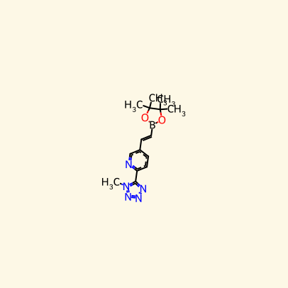 Cn1nnnc1-c1ccc(C=CB2OC(C)(C)C(C)(C)O2)cn1